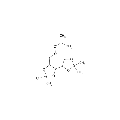 CC(N)OOCC1OC(C)(C)OC1C1COC(C)(C)O1